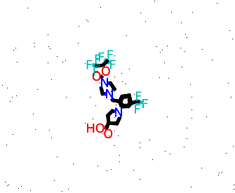 O=C(O)C1CCN(c2cc(C(F)(F)F)ccc2CN2CCN(C(=O)OC(C(F)(F)F)C(F)(F)F)CC2)CC1